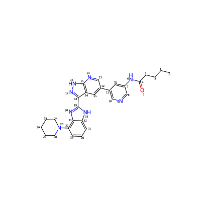 CCCCC(=O)Nc1cncc(-c2cnc3[nH]nc(-c4nc5c(N6CCCCC6)cccc5[nH]4)c3c2)c1